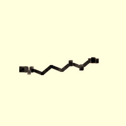 CCCCSSCCCS(=O)(=O)O